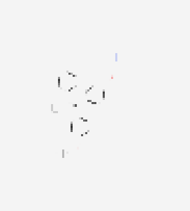 CCCCOc1ccc(/C(=C(\CC)c2ccccc2)c2ccc(OCCN)cc2C)cc1